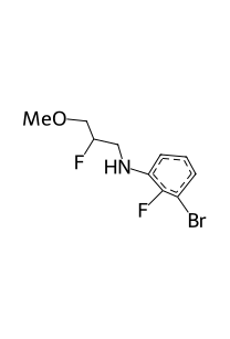 COCC(F)CNc1cccc(Br)c1F